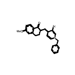 COc1ccc2c(c1)CCC(CC1C=CN(Cc3ccccc3)C=C1C(C)=O)C2=O